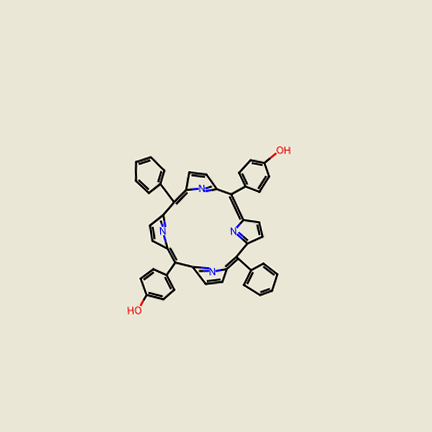 Oc1ccc(C2=C3C=CC(=N3)C(c3ccccc3)=C3C=CC(=N3)C(c3ccc(O)cc3)=C3C=CC(=N3)C(c3ccccc3)=C3C=CC2=N3)cc1